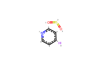 I.O=S=O.c1ccncc1